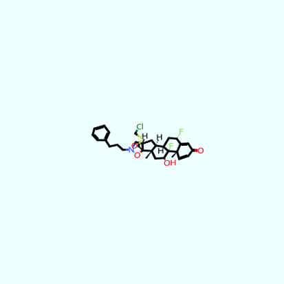 C[C@]12C=CC(=O)C=C1[C@@H](F)C[C@H]1[C@@H]3C[C@H]4CN(CCCc5ccccc5)O[C@@]4(C(=O)SCCl)[C@@]3(C)C[C@H](O)[C@@]12F